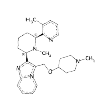 Cc1cccnc1[C@@H]1CCC[C@H](c2nc3ccccn3c2COC2CCN(C)CC2)N1C